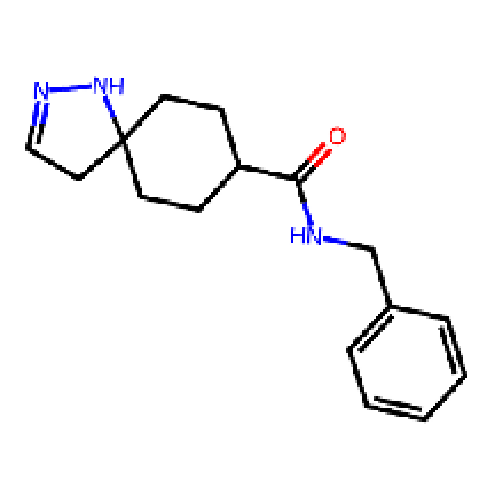 O=C(NCc1ccccc1)C1CCC2(CC=NN2)CC1